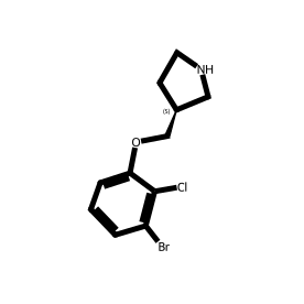 Clc1c(Br)cccc1OC[C@H]1CCNC1